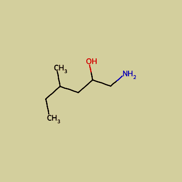 CCC(C)CC(O)CN